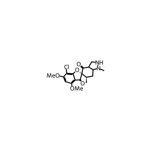 COc1cc(OC)c2c(c1Cl)O[C@]1(C2=O)C(=O)C2CNN(C)C2C[C@H]1C